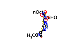 CCCCCCCCN1C(=O)S/C(=c2/s/c(=C/c3cnc(-c4ccc(-c5ncc(-c6ccc7c(c6)C6CCCC6N7c6ccc(C)cc6)s5)c5nsnc45)s3)c(=O)n2COC=O)C1=O